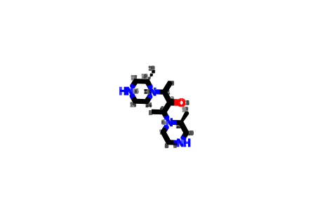 CC(C(=O)C(C)N1CCNC[C@@H]1C)N1CCNC[C@@H]1C